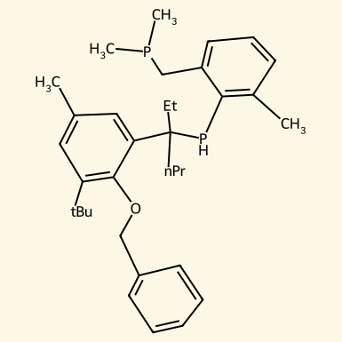 CCCC(CC)(Pc1c(C)cccc1CP(C)C)c1cc(C)cc(C(C)(C)C)c1OCc1ccccc1